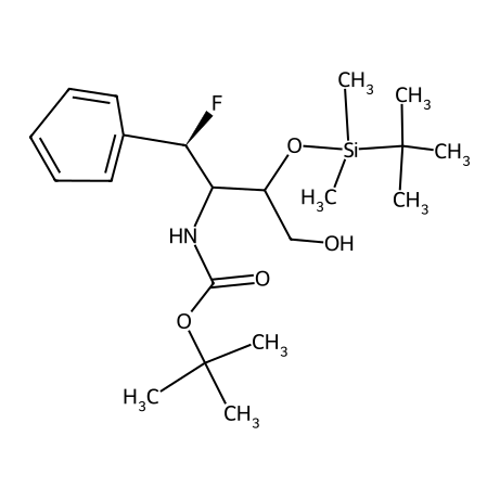 CC(C)(C)OC(=O)NC(C(CO)O[Si](C)(C)C(C)(C)C)[C@H](F)c1ccccc1